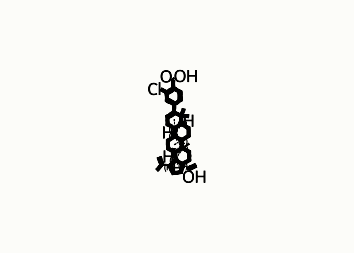 C=C(C)[C@@H]1CC[C@]2(C(=C)O)CC[C@]3(C)[C@H](CC[C@@H]4[C@@]5(C)CC=C(c6ccc(C(=O)O)c(Cl)c6)C(C)(C)[C@@H]5CC[C@]43C)[C@@H]12